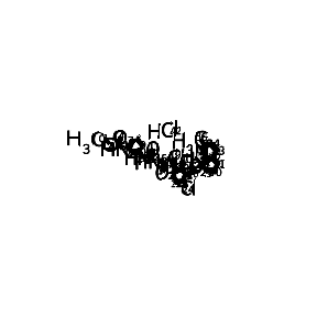 CCOC(=O)Nc1cccc(NC(=O)NCC(=O)N(C)c2ccc(Cl)c(COc3cccc4ccc(C)nc34)c2Cl)c1.Cl